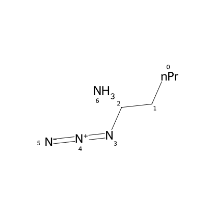 CCCCCN=[N+]=[N-].N